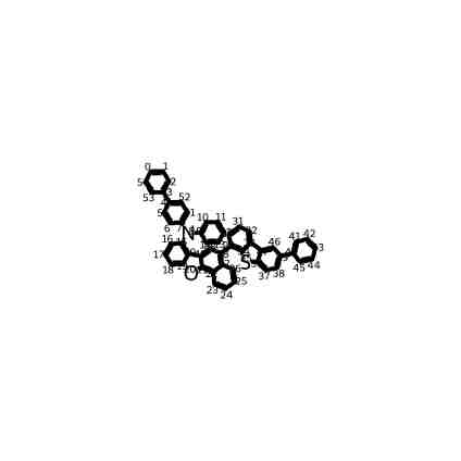 c1ccc(-c2ccc(N(c3ccccc3)c3cccc4oc5c6ccccc6c(-c6cccc7c6sc6ccc(-c8ccccc8)cc67)cc5c34)cc2)cc1